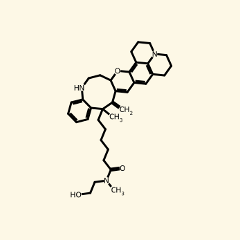 C=C1C2=Cc3cc4c5c(c3OC2CCNc2ccccc2C1(C)CCCCCC(=O)N(C)CCO)CCCN5CCC4